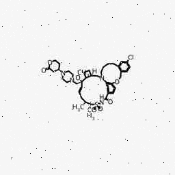 CO[C@@]1(CN2CCN([C@@H]3CCOC(=O)C3)CC2)/C=C/C[C@H](C)[C@@H](C)S(=O)(=O)NC(=O)c2ccc3c(c2)N(CCCCc2cc(Cl)ccc2CO3)C[C@@H]2CCC21